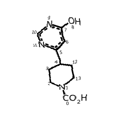 O=C(O)N1CCC(c2cc(O)ncn2)CC1